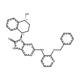 O=c1[nH]c2cnc(Nc3cccnc3OCc3ccccc3)nc2n1[C@@H]1CC[C@@H](O)c2ccccc21